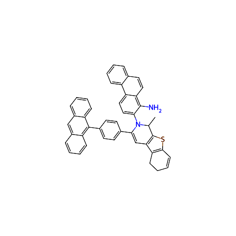 CC1c2sc3c(c2C=C(c2ccc(-c4c5ccccc5cc5ccccc45)cc2)N1c1ccc2c(ccc4ccccc42)c1N)CCC=C3